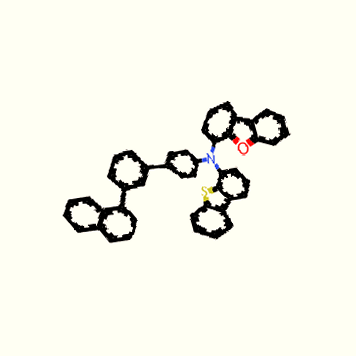 c1cc(-c2ccc(N(c3cccc4c3oc3ccccc34)c3cccc4c3sc3ccccc34)cc2)cc(-c2cccc3ccccc23)c1